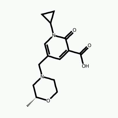 C[C@@H]1CN(Cc2cc(C(=O)O)c(=O)n(C3CC3)c2)CCO1